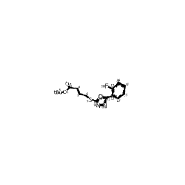 CC(C)(C)OC(=O)CCCSc1nnc(-c2ccccc2F)o1